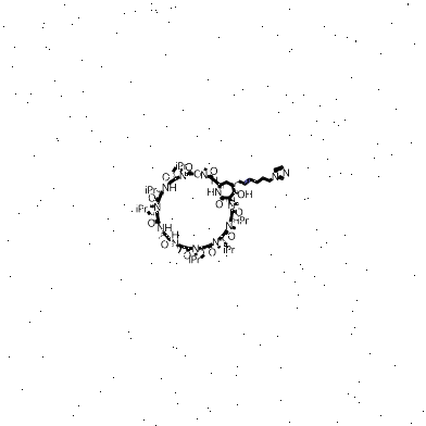 CC(C)C[C@H]1C(=O)N[C@@H](C(C)C)C(=O)N(C)[C@@H](CC(C)C)C(=O)N[C@@H](C)C(=O)N[C@H](C)C(=O)N(C)[C@@H](CC(C)C)C(=O)N(C)[C@@H](CC(C)C)C(=O)N(C)[C@@H](C(C)C)C(=O)N(C)[C@@H]2C(=O)N[C@@H](C[C@H](C/C=C/CCCn3ccnc3)[C@H]2O)C(=O)N(C)CC(=O)N1C